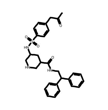 CC(=O)Cc1ccc(S(=O)(=O)NC2CNCC(C(=O)NCC(c3ccccc3)c3ccccc3)C2)cc1